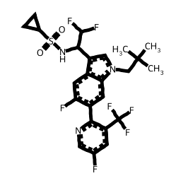 CC(C)(C)Cn1cc(C(NS(=O)(=O)C2CC2)C(F)F)c2cc(F)c(-c3ncc(F)cc3C(F)(F)F)cc21